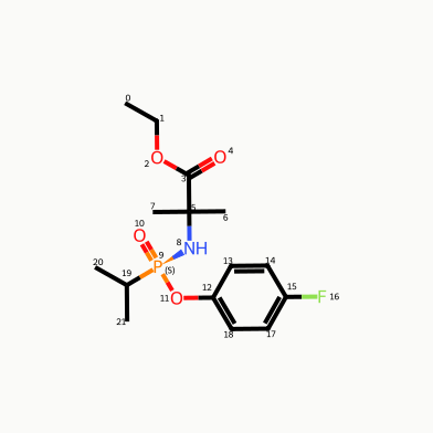 CCOC(=O)C(C)(C)N[P@@](=O)(Oc1ccc(F)cc1)C(C)C